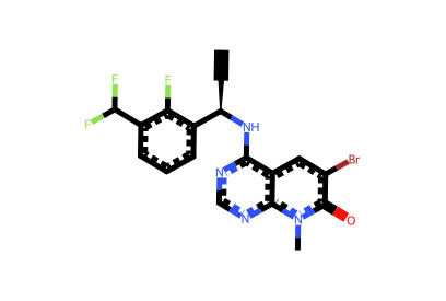 C#C[C@@H](Nc1ncnc2c1cc(Br)c(=O)n2C)c1cccc(C(F)F)c1F